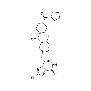 O=C(c1cc(Cc2c[nH]c(=O)c3cc(Cl)cn23)ccc1F)N1CCN(C(=O)C2CCCC2)CC1